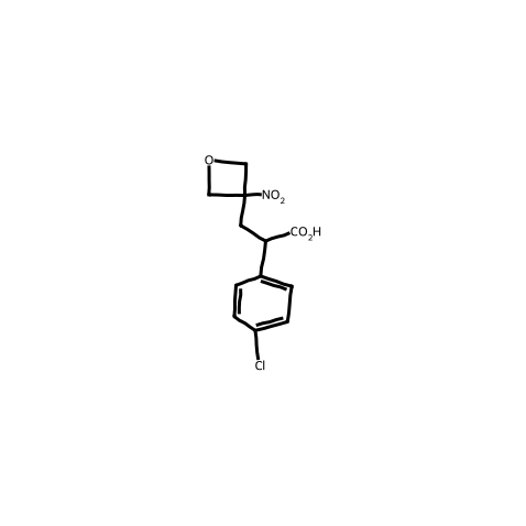 O=C(O)C(CC1([N+](=O)[O-])COC1)c1ccc(Cl)cc1